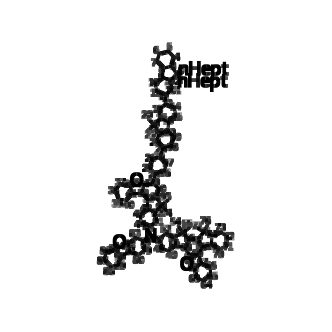 CCCCCCCC1(CCCCCCC)c2ccccc2-c2ccc(-c3ccc4c(c3)C(C)(C)c3cc(-c5ccc(-c6cc7c(c8c6oc6ccccc68)-c6ccc(N(c8ccc9c(c8)C(C)(C)c8c%10c(c%11c(oc%12ccccc%12%11)c8-9)-c8ccccc8C%10(C)C)c8ccc9c(c8)oc8ccccc89)cc6C7(C)C)cc5)ccc3-4)cc21